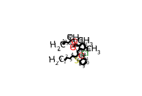 C=CCC/C=C(\Sc1ccccc1)C(=O)Cc1c(Cl)c(C)cc(C)c1C(=O)O[C@H](C)CC=C